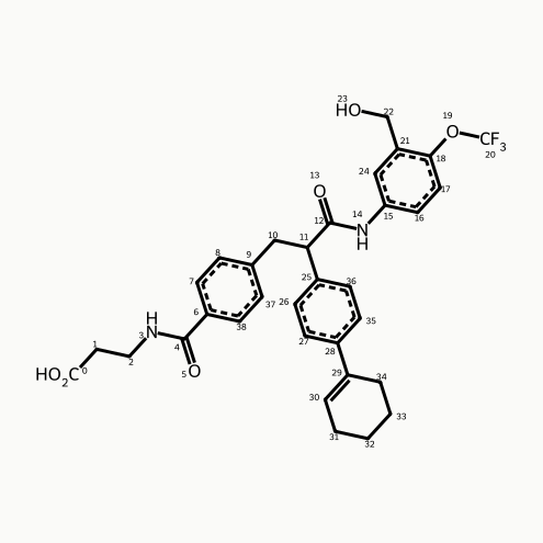 O=C(O)CCNC(=O)c1ccc(CC(C(=O)Nc2ccc(OC(F)(F)F)c(CO)c2)c2ccc(C3=CCCCC3)cc2)cc1